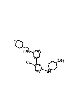 O[C@H]1CC[C@H](Nc2cc(-c3cncc(NCC4CCOCC4)n3)c(Cl)cn2)CC1